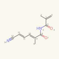 C=C(C)C(=O)NC(=O)C(C)=CC=CC#N